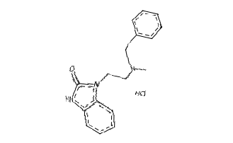 CN(CCn1c(=O)[nH]c2ccccc21)Cc1ccccc1.Cl